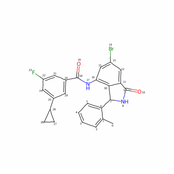 Cc1ccccc1C1NC(=O)c2cc(Br)cc(NC(=O)c3cc(F)cc(C4CC4)c3)c21